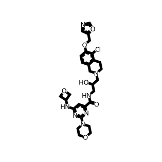 O=C(NCC(O)CN1CCc2c(ccc(OCc3cnco3)c2Cl)C1)c1cc(NC2COC2)nc(N2CCOCC2)n1